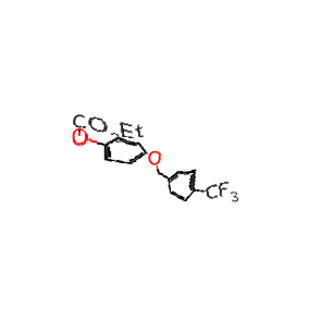 CCOC(=O)Oc1ccc(OCc2ccc(C(F)(F)F)cc2)cc1